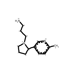 Cc1ccc(C2CCCN2CCCN)cn1